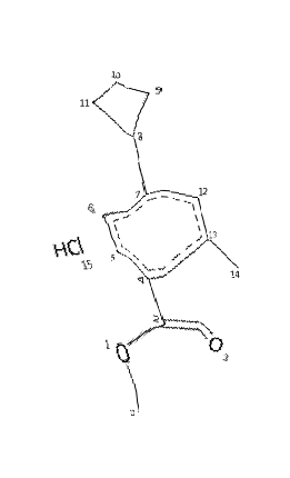 COC(=O)c1ccc(C2CCC2)cc1C.Cl